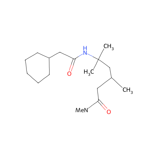 CNC(=O)CC(C)CC(C)(C)NC(=O)CC1CCCCC1